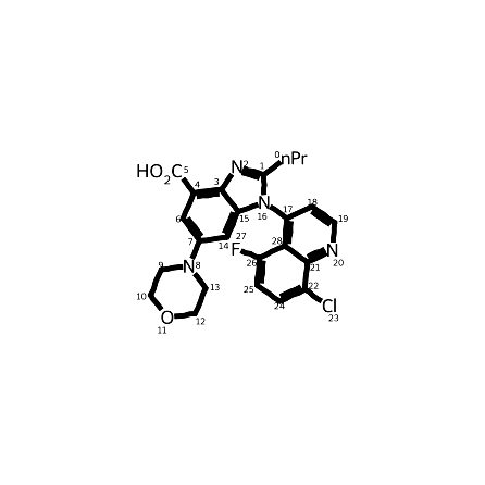 CCCc1nc2c(C(=O)O)cc(N3CCOCC3)cc2n1-c1ccnc2c(Cl)ccc(F)c12